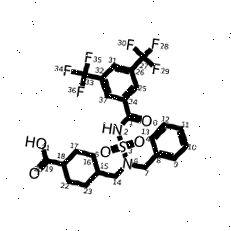 O=C(NS(=O)(=O)N(Cc1ccccc1)CC1CCC(C(=O)O)CC1)c1cc(C(F)(F)F)cc(C(F)(F)F)c1